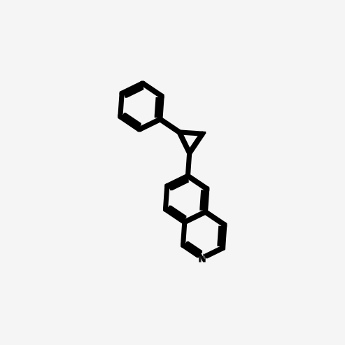 c1ccc(C2CC2c2ccc3cnccc3c2)cc1